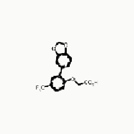 O=C(O)COc1ccc(C(F)(F)F)cc1-c1ccc2c(c1)OCO2